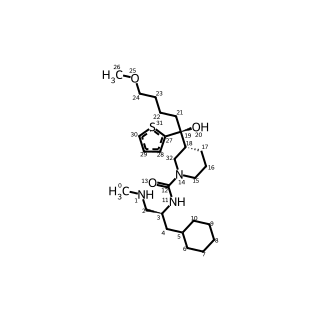 CNC[C@H](CC1CCCCC1)NC(=O)N1CCC[C@@H]([C@@](O)(CCCCOC)c2cccs2)C1